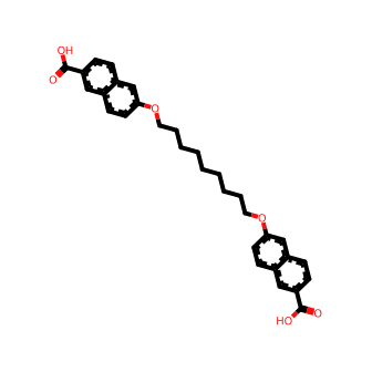 O=C(O)c1ccc2cc(OCCCCCCCCCOc3ccc4cc(C(=O)O)ccc4c3)ccc2c1